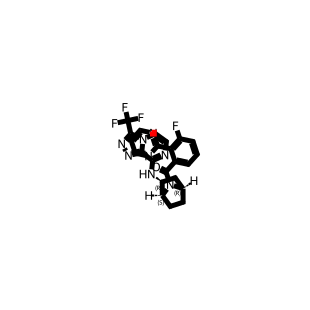 O=C(c1cccc(F)c1-c1ncccn1)N1[C@@H]2CC[C@H]1[C@H](Nc1nccn3c(C(F)(F)F)nnc13)C2